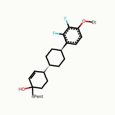 CCCCCC1(O)C=CC([C@H]2CC[C@H](c3ccc(OCC)c(F)c3F)CC2)CC1